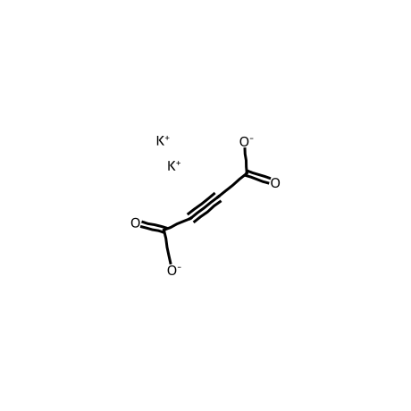 O=C([O-])C#CC(=O)[O-].[K+].[K+]